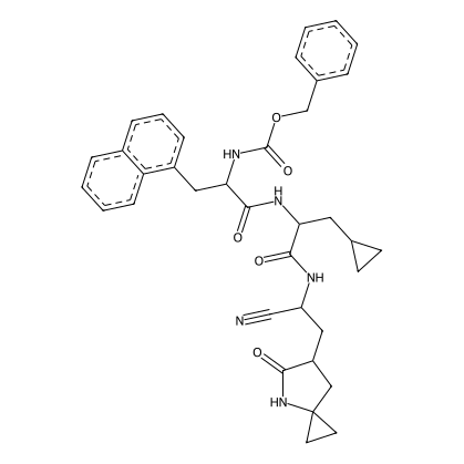 N#CC(CC1CC2(CC2)NC1=O)NC(=O)C(CC1CC1)NC(=O)C(Cc1cccc2ccccc12)NC(=O)OCc1ccccc1